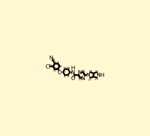 N#Cc1ccc(O[C@H]2CC[C@H](NC(=O)c3cnc(N4CC5CNCC5C4)cn3)CC2)cc1Cl